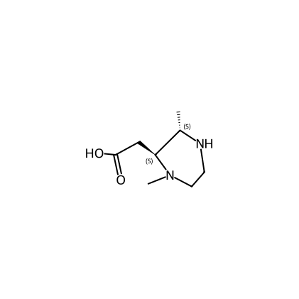 C[C@@H]1NCCN(C)[C@H]1CC(=O)O